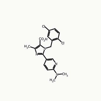 Cc1nc(-c2ccc(N(C)C)nc2)n(Cc2cc(Cl)ccc2Cl)c1C(=O)O